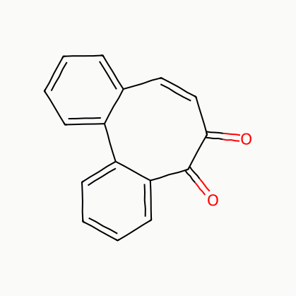 O=c1ccc2ccccc2c2ccccc2c1=O